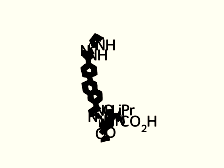 CC(C)[C@H](NC(=O)O)C(=O)N1CC2(C[C@H]1c1ncc(-c3ccc4cc(-c5ccc(-c6cnc([C@@H]7CCCN7)[nH]6)cc5)ccc4c3)[nH]1)OCCO2